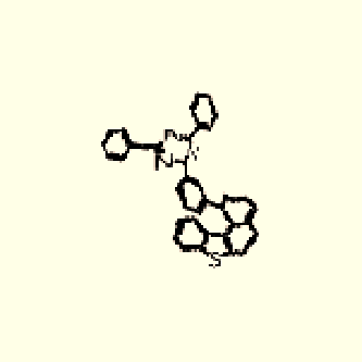 c1ccc(-c2nc(-c3ccccc3)nc(-c3cccc(-c4cccc5ccc6sc7ccccc7c6c45)c3)n2)cc1